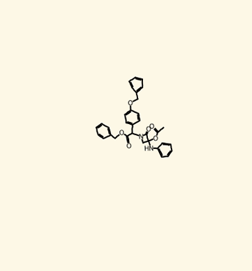 CC(=O)OC1(Nc2ccccc2)CN(C(C(=O)OCc2ccccc2)c2ccc(OCc3ccccc3)cc2)C1=O